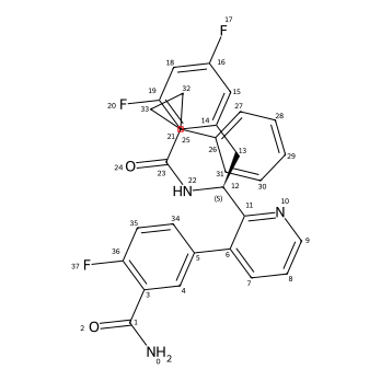 NC(=O)c1cc(-c2cccnc2[C@H](Cc2cc(F)cc(F)c2)NC(=O)C2(c3ccccc3)CC2)ccc1F